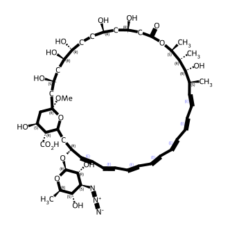 CO[C@]12C[C@@H](O)C[C@@H](O)[C@H](O)CC[C@@H](O)C[C@@H](O)CC(=O)O[C@@H](C)[C@H](C)[C@H](O)[C@@H](C)/C=C/C=C/C=C/C=C/C=C/C=C/C=C/[C@H](O[C@@H]3O[C@H](C)[C@@H](O)[C@H](N=[N+]=[N-])[C@H]3O)CC(O1)[C@H](C(=O)O)[C@@H](O)C2